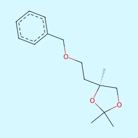 CC1(C)OC[C@](C)(CCOCc2ccccc2)O1